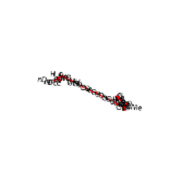 CCCCCCCCCCCCOCC(C[N+](C)(C)CCCNC(=O)CCC(=O)NCCOCCOCCOCCOCCOCCOCCOCCOCCOCCOCCOCCOCCC(=O)NCCC1(C(=O)N[C@@H](Cc2ccc(NC(=O)c3c(Cl)cccc3Cl)cc2)C(=O)OC)CCCC1)OCCCCCCCCCCCC